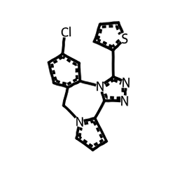 Clc1ccc2c(c1)-n1c(-c3cccs3)nnc1-c1cccn1C2